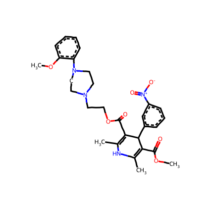 COC(=O)C1=C(C)NC(C)=C(C(=O)OCCN2CCN(c3ccccc3OC)CC2)C1c1cccc([N+](=O)[O-])c1